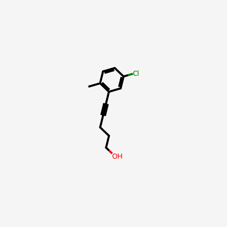 Cc1ccc(Cl)cc1C#CCCCO